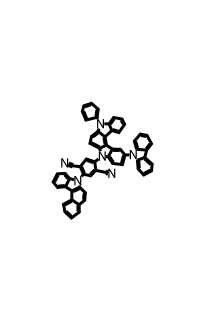 N#Cc1cc(-n2c3ccc(-n4c5ccccc5c5ccccc54)cc3c3c4c5ccccc5n(-c5ccccc5)c4ccc32)c(C#N)cc1-n1c2ccccc2c2c3ccccc3ccc21